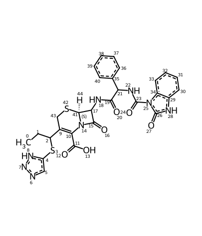 CCC(Sc1cnn[nH]1)C1=C(C(=O)O)N2C(=O)C(NC(=O)C(NC(=O)n3c(=O)[nH]c4ccccc43)c3ccccc3)[C@@H]2SC1